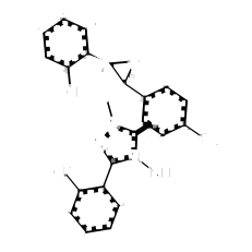 Nn1c(-c2ccccc2Cl)nn(C[C@@]2(c3ccc(F)cc3)O[C@@H]2c2ccccc2Cl)c1=S